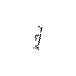 CCCCCCCCCCCCCCCCCCNCC(O)O.CCCS(=O)(=O)O